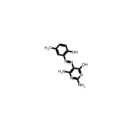 Cc1ccc(O)c(/N=N/c2c(N)nc(N)nc2O)c1